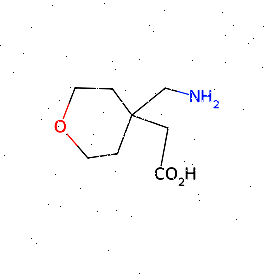 NCC1(CC(=O)O)CCOCC1